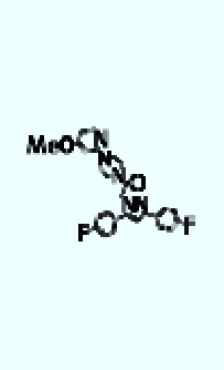 COc1ccnc(N2CCN(C(=O)Cn3nc(-c4ccc(F)cc4)cc3-c3ccc(F)cc3)CC2)c1